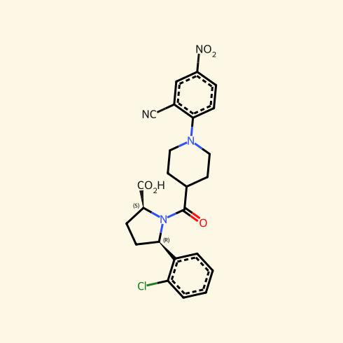 N#Cc1cc([N+](=O)[O-])ccc1N1CCC(C(=O)N2[C@@H](c3ccccc3Cl)CC[C@H]2C(=O)O)CC1